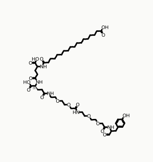 O=CC(Cc1ccc(O)cc1)NC(=O)COCCOCCNC(=O)COCCOCCNC(=O)CC[C@H](NC(=O)CCC(NC(=O)CCCCCCCCCCCCCCCCC(=O)O)C(=O)O)C(=O)O